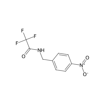 O=C(NCc1ccc([N+](=O)[O-])cc1)C(F)(F)F